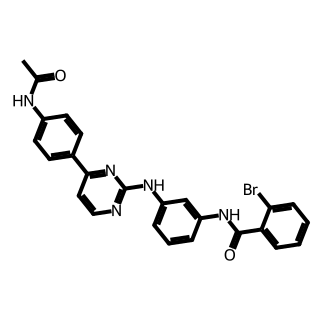 CC(=O)Nc1ccc(-c2ccnc(Nc3cccc(NC(=O)c4ccccc4Br)c3)n2)cc1